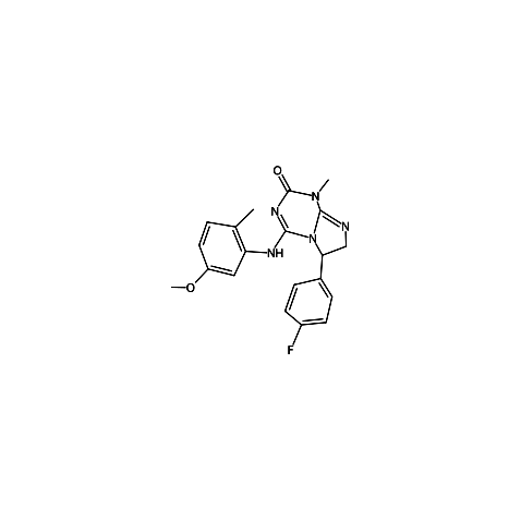 COc1ccc(C)c(NC2=NC(=O)N(C)C3=NCC(c4ccc(F)cc4)N23)c1